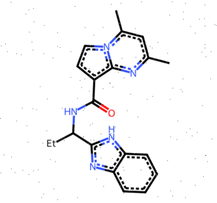 CCC(NC(=O)c1ccn2c(C)cc(C)nc12)c1nc2ccccc2[nH]1